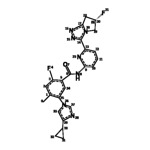 Cc1cc(F)c(C(=O)Nc2cccc(-c3nnc4n3C[C@@H](F)C4)n2)cc1-n1cnc(C2CC2)c1